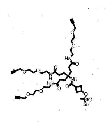 C#CCOCCOCCNC(=O)CCC(CCC(=O)NCCOCCOCC#C)(CCC(=O)NCCOCCOCC#C)NC(=O)C1CC(OP(C)(=O)S)C1